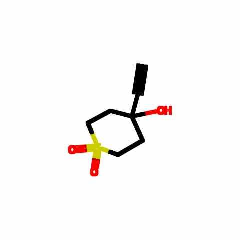 C#CC1(O)CCS(=O)(=O)CC1